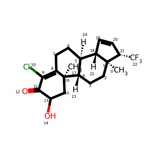 C[C@]12CC[C@H]3[C@@H](CCC4=C(Cl)C(=O)C(O)C[C@@]43C)[C@@H]1C=C[C@@H]2C(F)(F)F